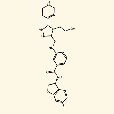 O=C(N[C@@H]1COc2cc(F)ccc21)c1cccc(NCC2NNC(C3=NCNCC3)N2CCO)c1